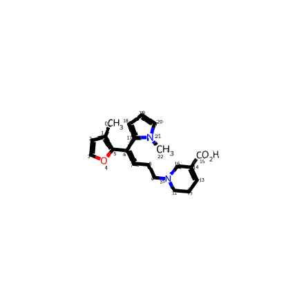 Cc1ccoc1C(=CCCN1CCC=C(C(=O)O)C1)c1cccn1C